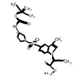 COC(=O)C(C)n1cc(C)c2cc(S(=O)(=O)N3CC[C@@H](NC(=O)OC(C)(C)C)C3)ccc21